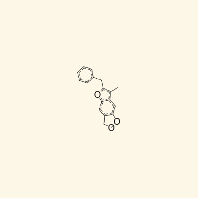 Cc1c(Cc2ccccc2)oc2cc3c(cc12)OOC3